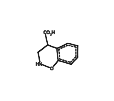 O=C(O)C1CNOc2ccccc21